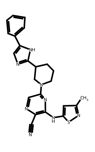 Cc1cc(Nc2nc(N3CCCC(c4ncc(-c5ccccc5)[nH]4)C3)cnc2C#N)sn1